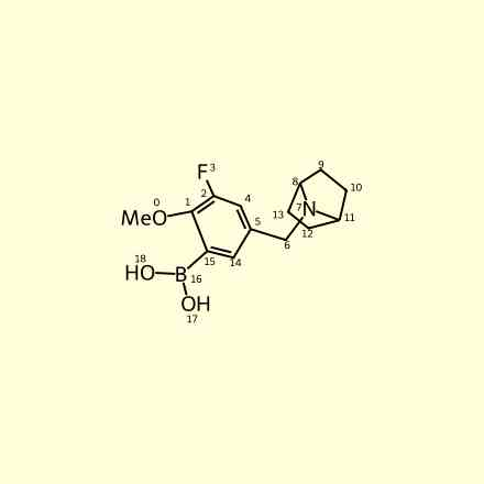 COc1c(F)cc(CN2C3CCC2CC3)cc1B(O)O